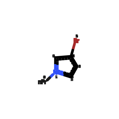 CCCn1[c]cc(Br)c1